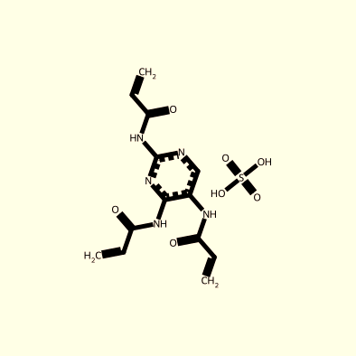 C=CC(=O)Nc1ncc(NC(=O)C=C)c(NC(=O)C=C)n1.O=S(=O)(O)O